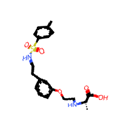 Cc1ccc(S(=O)(=O)NCCc2cccc(OCCN[C@@H](C)C(=O)O)c2)cc1